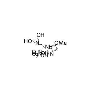 COc1ccc2nccc(NCCCN(CCO)CCO)c2c1.O=[N+]([O-])O.O=[N+]([O-])O